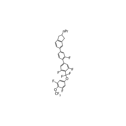 CCCC1Cc2ccc(-c3ccc(-c4cc(F)c(C(F)(F)Oc5cc(F)c(OC(F)(F)F)c(F)c5)c(F)c4)c(F)c3)cc2C1